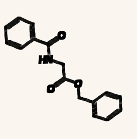 O=C(CNC(=O)c1ccccc1)OCc1ccccc1